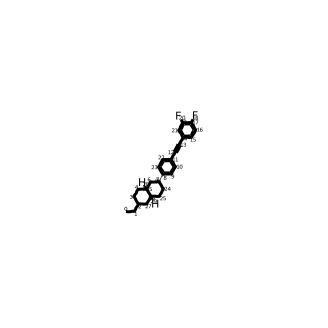 CCC1CC[C@@H]2C[C@H](c3ccc(C#Cc4ccc(F)c(F)c4)cc3)CC[C@@H]2C1